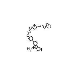 Cn1c2ccncc2c2ccc(-c3ccc(OC4CC(Oc5ccc(C#CCOC6CCCCO6)nc5)C4)nc3)cc21